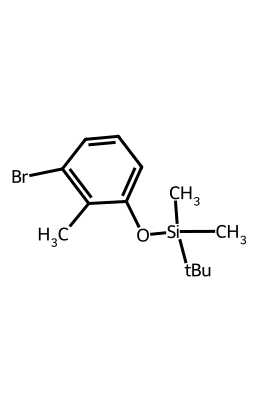 Cc1c(Br)cccc1O[Si](C)(C)C(C)(C)C